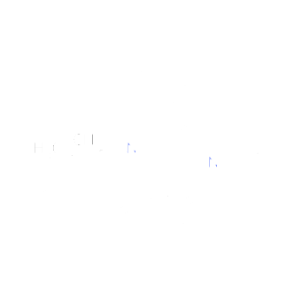 CC1(C)c2ccccc2-c2ccc(N(c3ccc(-c4ccccc4-c4ccccc4)cc3)c3ccc4c(c3)C(c3ccccc3)(c3ccccc3)c3cccc(-n5c6ccccc6c6ccccc65)c3-4)cc21